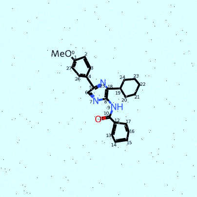 COc1ccc(-c2cnc(NC(=O)c3ccccc3)c(C3CCCCC3)n2)cc1